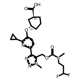 CN(CCC(F)F)C(=O)OCc1c(-c2ccc(O[C@H]3CCC[C@H](C(=O)O)C3)c(C3CC3)n2)nnn1C